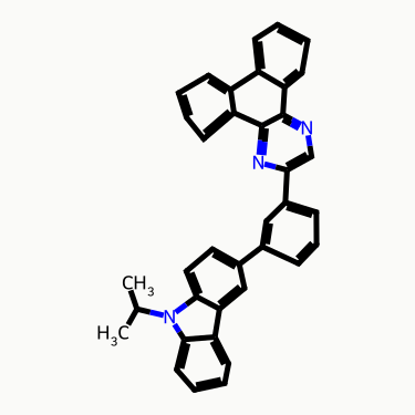 CC(C)n1c2ccccc2c2cc(-c3cccc(-c4cnc5c6ccccc6c6ccccc6c5n4)c3)ccc21